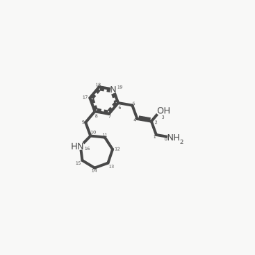 NCC(O)=CCc1cc(CC2CCCCCN2)ccn1